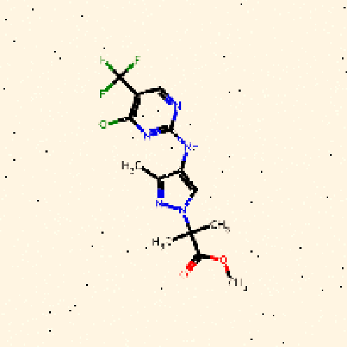 COC(=O)C(C)(C)n1cc(Nc2ncc(C(F)(F)F)c(Cl)n2)c(C)n1